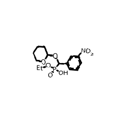 CCOP(=O)(O)C(OC1CCCCO1)c1cccc([N+](=O)[O-])c1